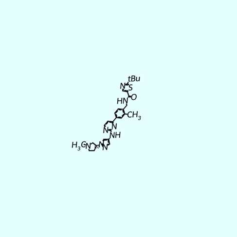 Cc1cc(-c2ccnc(Nc3cnn([C@H]4CCN(C)C4)c3)n2)ccc1CNC(=O)c1cnc(C(C)(C)C)s1